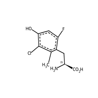 Cc1c(Cl)c(O)cc(F)c1C[C@H](N)C(=O)O